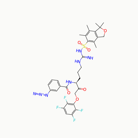 Cc1c(C)c(S(=O)(=O)NC(=N)NCCC[C@H](NC(=O)c2cccc(N=[N+]=[N-])c2)C(=O)COc2c(F)c(F)cc(F)c2F)c(C)c2c1C(C)(C)OC2